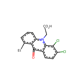 CCc1cccc2c1c(=O)c1ccc(Cl)c(Cl)c1n2CC(=O)O